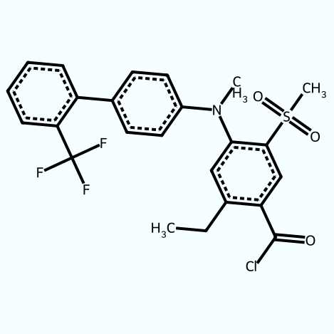 CCc1cc(N(C)c2ccc(-c3ccccc3C(F)(F)F)cc2)c(S(C)(=O)=O)cc1C(=O)Cl